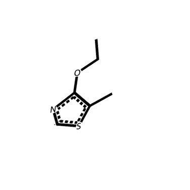 CCOc1n[c]sc1C